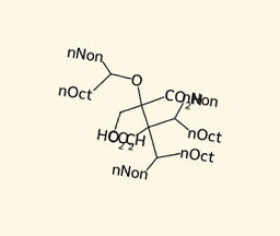 CCCCCCCCCC(CCCCCCCC)OC(CC(=O)O)(C(=O)O)C(C(=O)O)(C(CCCCCCCC)CCCCCCCCC)C(CCCCCCCC)CCCCCCCCC